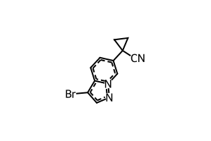 N#CC1(c2ccc3c(Br)cnn3c2)CC1